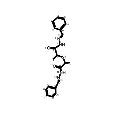 CC(SC(C)C(=O)N/N=C/c1ccccc1)C(=O)N/N=C/c1ccccc1